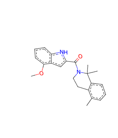 COc1cccc2[nH]c(C(=O)N3CCc4c(C)cccc4C3(C)C)cc12